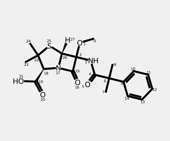 COC1(NC(=O)C(C)(C)c2ccccc2)C(=O)N2[C@@H](C(=O)O)C(C)(C)S[C@@H]21